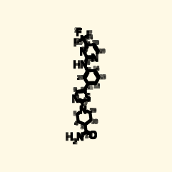 NC(=O)C1CCN(c2ncc(-c3cccc(Nc4nccc(C(F)(F)F)n4)c3)s2)CC1